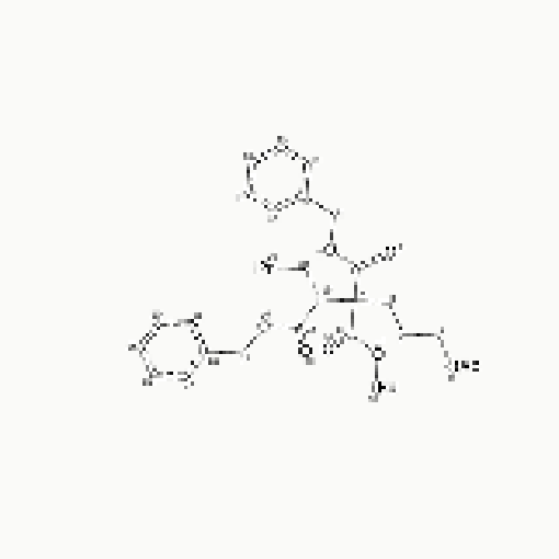 CC(=O)OCCCC(C(=O)OCc1ccccc1)(C(=O)OC(C)(C)C)[C@@H](CC(C)C)C(=O)OCc1ccccc1